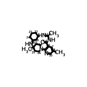 CC(=N)NC(=O)c1cc(C)cnc1N1CCC(C)(NC2CCCCC2)CC1